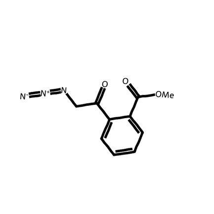 COC(=O)c1ccccc1C(=O)CN=[N+]=[N-]